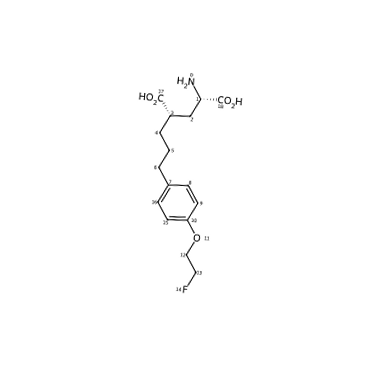 N[C@@H](C[C@H](CCCc1ccc(OCCF)cc1)C(=O)O)C(=O)O